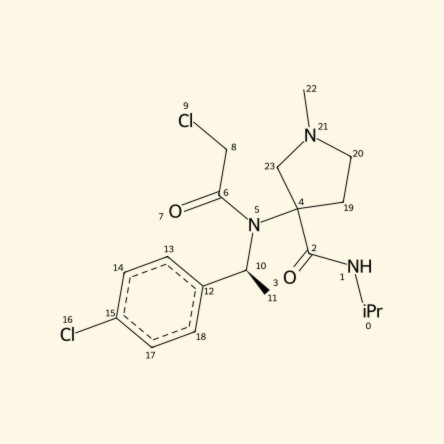 CC(C)NC(=O)C1(N(C(=O)CCl)[C@@H](C)c2ccc(Cl)cc2)CCN(C)C1